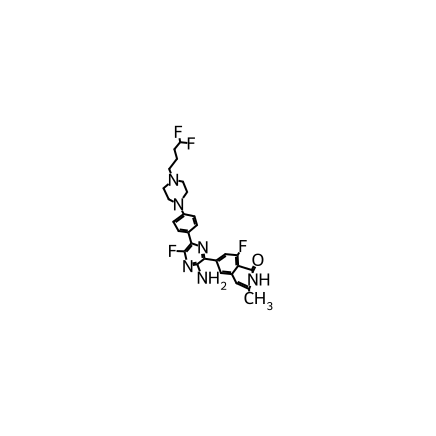 Cc1cc2cc(-c3nc(-c4ccc(N5CCN(CCCC(F)F)CC5)cc4)c(F)nc3N)cc(F)c2c(=O)[nH]1